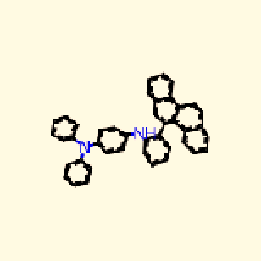 c1ccc(N(c2ccccc2)c2ccc(Nc3ccccc3-c3cc4ccccc4c4ccc5ccccc5c34)cc2)cc1